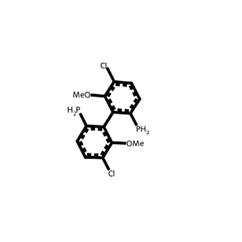 COc1c(Cl)ccc(P)c1-c1c(P)ccc(Cl)c1OC